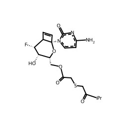 CC(C)C(=O)CSCC(=O)OC[C@H]1O[C@]2(n3ccc(N)nc3=O)C=CC2[C@@H](F)[C@H]1O